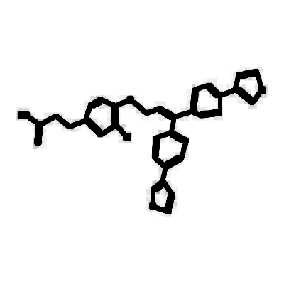 O=C(O)CCc1ccc(OCC=C(c2ccc(-c3ccoc3)cc2)c2ccc(-c3ccoc3)cc2)c(Cl)c1